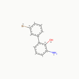 Nc1cccc(-c2cccc(Br)c2)c1O